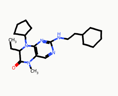 CCC1C(=O)N(C)c2cnc(NCCC3CCCCC3)nc2N1C1CCCC1